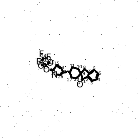 O=C1c2ccccc2CC12CCC(c1ccc(OS(=O)(=O)C(F)(F)F)nc1)CC2